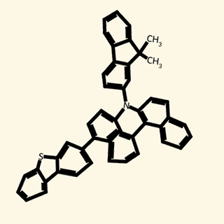 CC1(C)c2ccccc2-c2ccc(N(c3ccc(-c4ccc5c(c4)sc4ccccc45)cc3)c3ccc4ccccc4c3-c3ccccc3)cc21